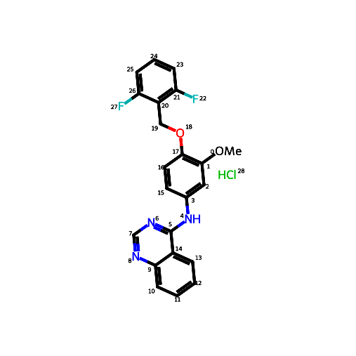 COc1cc(Nc2ncnc3ccccc23)ccc1OCc1c(F)cccc1F.Cl